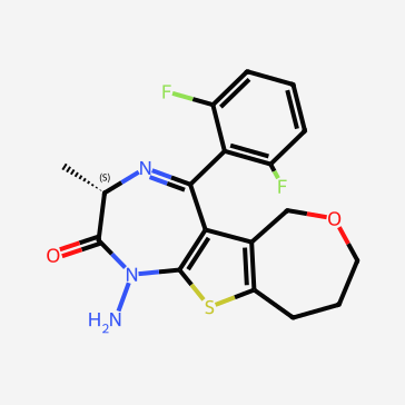 C[C@@H]1N=C(c2c(F)cccc2F)c2c(sc3c2COCCC3)N(N)C1=O